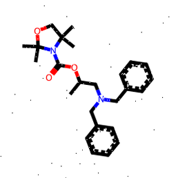 CC(CN(Cc1ccccc1)Cc1ccccc1)OC(=O)N1C(C)(C)COC1(C)C